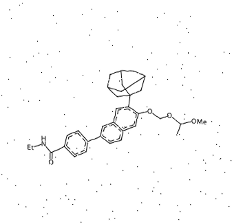 CCNC(=O)c1ccc(-c2ccc3cc(OCOC(C)OC)c(C45CC6CC(CC(C6)C4)C5)cc3c2)cc1